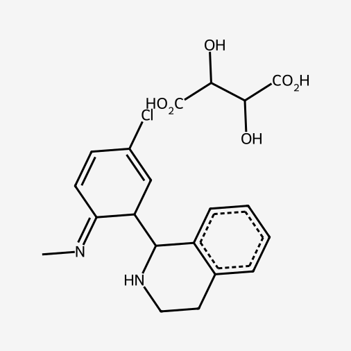 C/N=C1\C=CC(Cl)=CC1C1NCCc2ccccc21.O=C(O)C(O)C(O)C(=O)O